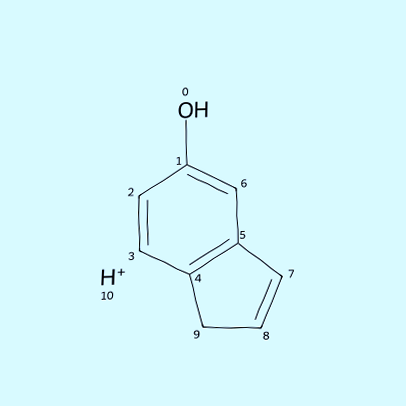 Oc1ccc2c(c1)C=CC2.[H+]